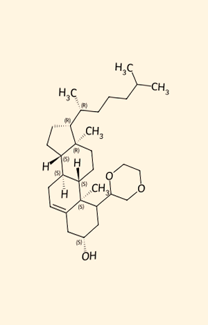 CC(C)CCC[C@@H](C)[C@H]1CC[C@H]2[C@@H]3CC=C4C[C@@H](O)CC(C5COCCO5)[C@]4(C)[C@H]3CC[C@]12C